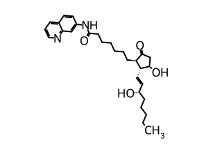 CCCCC[C@H](O)/C=C/[C@H]1[C@H](O)CC(=O)[C@@H]1CCCCCCC(=O)Nc1ccc2cccnc2c1